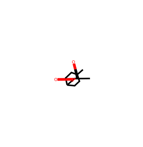 CC12CCC(CC1)C(=O)OC2=O